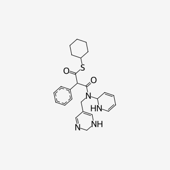 O=C(SC1CCCCC1)C(C(=O)N(CC1=CNCN=C1)C1C=CC=CN1)c1ccccc1